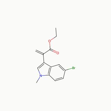 C=C(C(=O)OCC)c1cn(C)c2ccc(Br)cc12